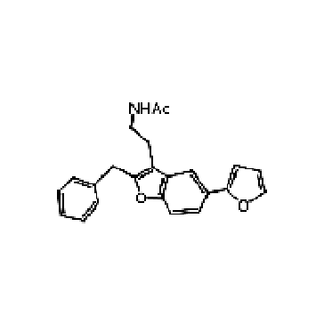 CC(=O)NCCc1c(Cc2ccccc2)oc2ccc(-c3ccco3)cc12